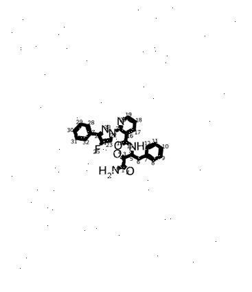 NC(=O)C(=O)C(Cc1ccccc1)NC(=O)c1cccnc1-n1cc(F)c(-c2ccccc2)n1